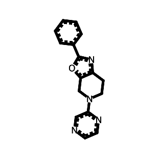 c1ccc(-c2nc3c(o2)CN(c2cnccn2)CC3)cc1